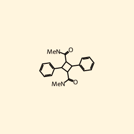 CNC(=O)C1C(c2ccccc2)C(C(=O)NC)C1c1ccccc1